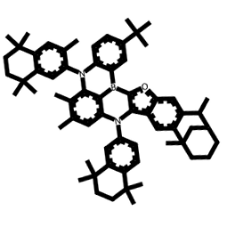 Cc1cc2c(cc1N1c3ccc(C(C)(C)C)cc3B3c4oc5cc6c(cc5c4N(c4ccc5c(c4)C(C)(C)CCC5(C)C)c4cc(C)c(C)c1c43)C1(C)CCCC(C1)C6C)C(C)(C)CCC2(C)C